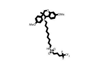 COc1ccc(C2(C)COc3cc(OC)ccc3C2SCCCCCCCCCNS(=O)(=O)CCCC(F)(F)C(F)(F)F)cc1